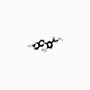 COC(=O)c1ccc(C)c(N2CCc3nc(C)ncc3C2)c1